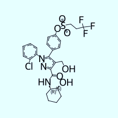 O=C(N[C@@H]1CCCC[C@@H]1O)c1nn(-c2ccccc2Cl)c(-c2ccc(OS(=O)(=O)CCC(F)(F)F)cc2)c1CO